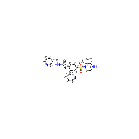 CCC1(CC)CNCCN1S(=O)(=O)c1ccc(NC(=O)NCc2cccnc2)cc1.c1ccncc1